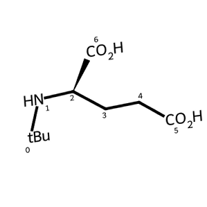 CC(C)(C)N[C@H](CCC(=O)O)C(=O)O